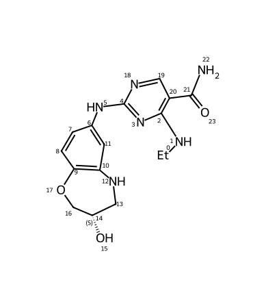 CCNc1nc(Nc2ccc3c(c2)NC[C@H](O)CO3)ncc1C(N)=O